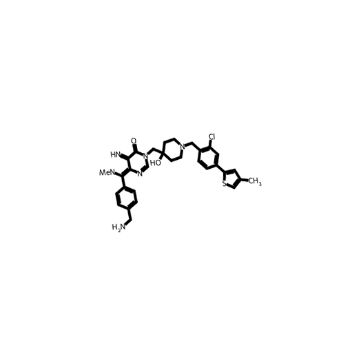 CN/C(=C1/N=CN(CC2(O)CCN(Cc3ccc(-c4cc(C)cs4)cc3Cl)CC2)C(=O)C1=N)c1ccc(CN)cc1